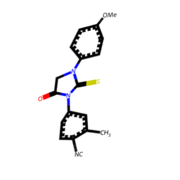 [C-]#[N+]c1ccc(N2C(=O)CN(c3ccc(OC)cc3)C2=S)cc1C